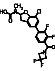 CN(C(=O)O)C1Cc2cc(-c3ccc(C(=O)N4CC(F)(F)C4)c(F)c3F)cc(Cl)c2O1